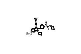 CCOc1ccc2c(C#CC3CC3)c(-c3ccc(NC(=O)NC4CCC4)cc3)n(C3CCC3)c2c1